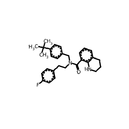 CC(C)(C)c1ccc(CN(CCc2ccc(F)cc2)C(=O)c2cccc3c2NCCC3)cc1